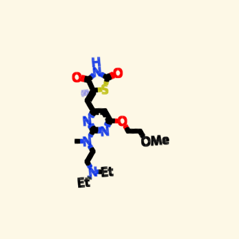 CCN(CC)CCN(C)c1nc(/C=C2\SC(=O)NC2=O)cc(OCCOC)n1